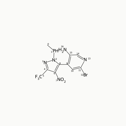 CPn1nc(C(F)(F)F)c([N+](=O)[O-])c1-c1cc(Br)ncc1N